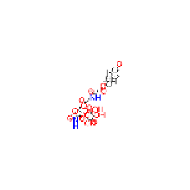 COC1C(O)C(OC2C(O)C(COC(=O)CCNC(=O)CCC(=O)O[C@H]3CC[C@H]4[C@@H]5CCC6=CC(=O)CC[C@]6(C)[C@H]5CC[C@]34C)OC(C)C2NC(C)=O)OC(C(=O)O)C1O